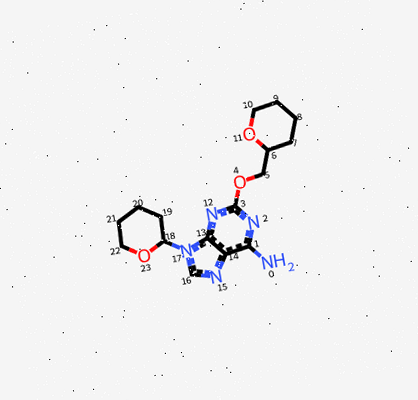 Nc1nc(OCC2CCCCO2)nc2c1ncn2C1CCCCO1